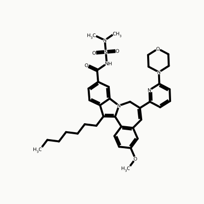 CCCCCCCc1c2n(c3cc(C(=O)NS(=O)(=O)N(C)C)ccc13)CC(c1cccc(N3CCOCC3)n1)=Cc1cc(OC)ccc1-2